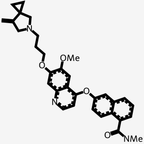 C=C1CN(CCCOc2cc3nccc(Oc4ccc5c(C(=O)NC)cccc5c4)c3cc2OC)CC12CC2